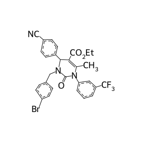 CCOC(=O)C1=C(C)N(c2cccc(C(F)(F)F)c2)C(=O)N(Cc2ccc(Br)cc2)C1c1ccc(C#N)cc1